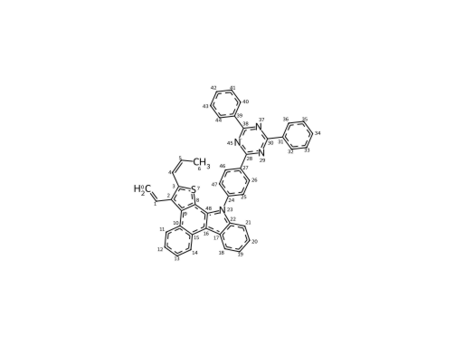 C=Cc1c(/C=C\C)sc2c1c1ccccc1c1c3ccccc3n(-c3ccc(-c4nc(-c5ccccc5)nc(-c5ccccc5)n4)cc3)c21